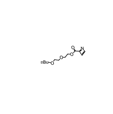 CCCCOCCOCCOC(=O)C1=NC=C1